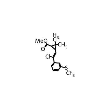 COC(=O)C1C(C=C(Cl)c2cccc(SC(F)(F)F)c2)C1(C)C